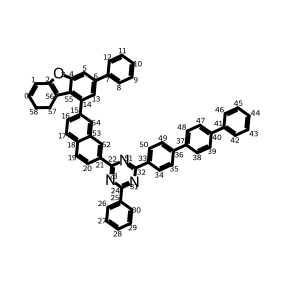 C1=Cc2oc3cc(-c4ccccc4)cc(-c4ccc5ccc(-c6nc(-c7ccccc7)nc(-c7ccc(-c8ccc(-c9ccccc9)cc8)cc7)n6)cc5c4)c3c2CC1